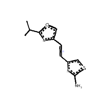 CC(C)c1nc(/C=C/c2csc(N)n2)co1